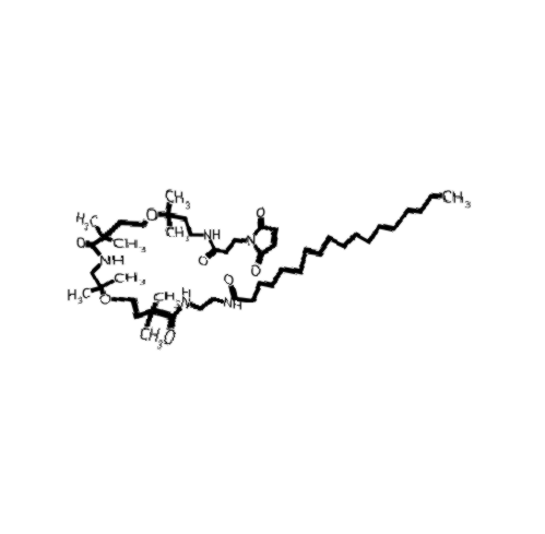 CCCCCCCCCCCCCCCCCC(=O)NCCNC(=O)C(C)(C)CCOC(C)(C)CNC(=O)C(C)(C)CCOC(C)(C)CCNC(=O)CCN1C(=O)C=CC1=O